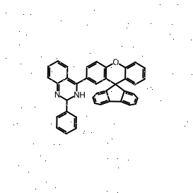 c1ccc(C2N=c3ccccc3=C(c3ccc4c(c3)C3(c5ccccc5O4)c4ccccc4-c4ccccc43)N2)cc1